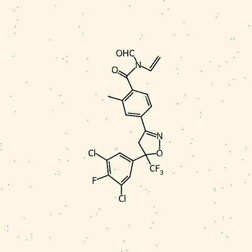 C=CN(C=O)C(=O)c1ccc(C2=NOC(c3cc(Cl)c(F)c(Cl)c3)(C(F)(F)F)C2)cc1C